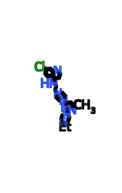 CCN1CCN(c2nc(C)cc(N3CCN(CCNc4ccnc5cc(Cl)ccc45)CC3)n2)CC1